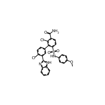 COc1ccc(NS(=O)(=O)c2ccc(C(N)=O)c(Cl)c2-c2ccc(Cl)c(-c3nc4ccccc4[nH]3)c2)cc1